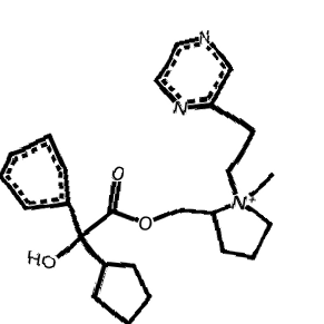 C[N+]1(CCc2cnccn2)CCCC1COC(=O)C(O)(c1ccccc1)C1CCCC1